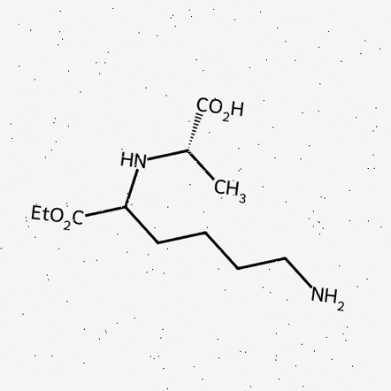 CCOC(=O)C(CCCCN)N[C@@H](C)C(=O)O